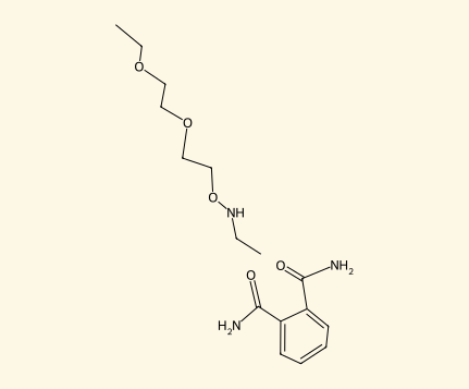 CCNOCCOCCOCC.NC(=O)c1ccccc1C(N)=O